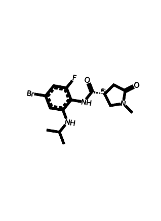 CC(C)Nc1cc(Br)cc(F)c1NC(=O)[C@@H]1CC(=O)N(C)C1